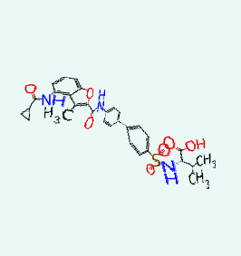 Cc1c(C(=O)Nc2ccc(-c3ccc(S(=O)(=O)N[C@H](C(=O)O)C(C)C)cc3)cc2)oc2cccc(NC(=O)C3CC3)c12